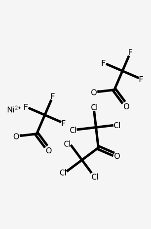 O=C(C(Cl)(Cl)Cl)C(Cl)(Cl)Cl.O=C([O-])C(F)(F)F.O=C([O-])C(F)(F)F.[Ni+2]